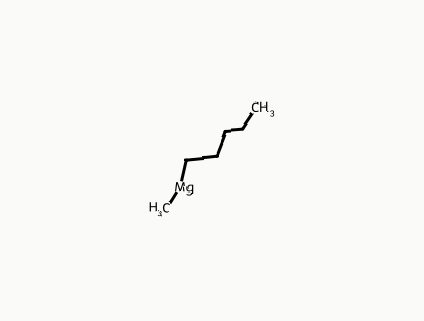 CCCC[CH2][Mg][CH3]